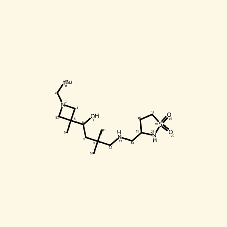 CC(C)(C)CN1CC(C)(C(O)CC(C)(C)CNCC2CCS(=O)(=O)N2)C1